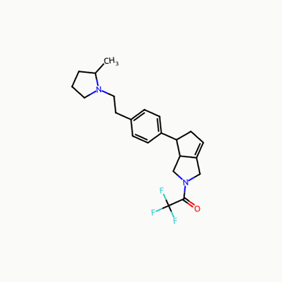 CC1CCCN1CCc1ccc(C2CC=C3CN(C(=O)C(F)(F)F)CC32)cc1